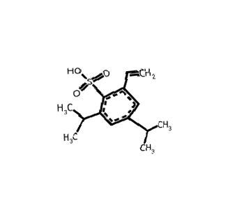 C=Cc1cc(C(C)C)cc(C(C)C)c1S(=O)(=O)O